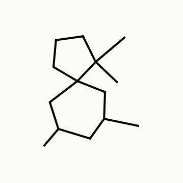 CC1CC(C)CC2(CCCC2(C)C)C1